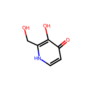 O=c1cc[nH]c(CO)c1O